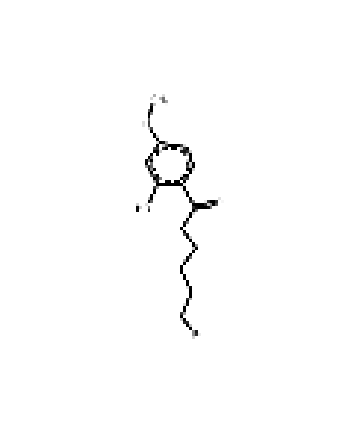 COc1ccc(C(=O)CCCCCBr)c(O)c1